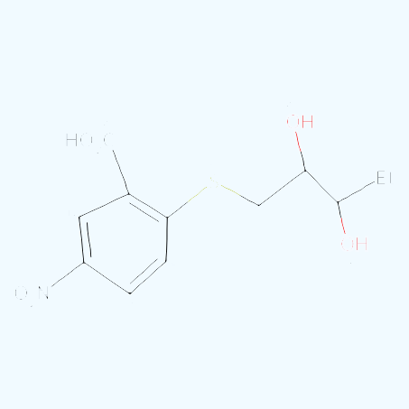 CCC(O)C(O)CSc1ccc([N+](=O)[O-])cc1C(=O)O